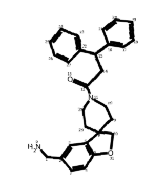 NCc1ccc2c(c1)C1(CCN(C(=O)CC(c3ccccc3)c3ccccc3)CC1)CO2